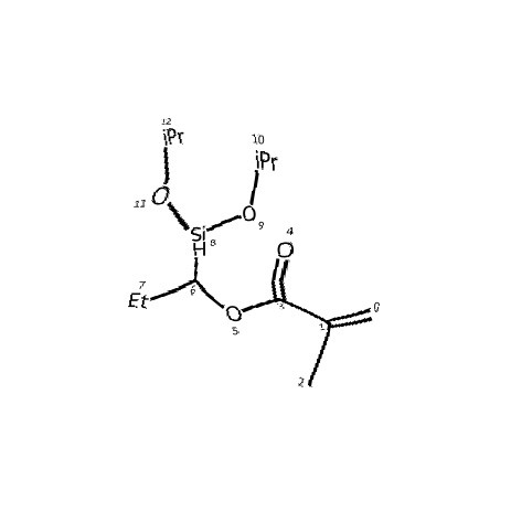 C=C(C)C(=O)OC(CC)[SiH](OC(C)C)OC(C)C